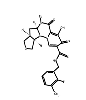 CCN1C(=O)c2c(O)c(=O)c(C(=O)NCc3cccc(C)c3F)cn2N2[C@H]3COC[C@H]3C[C@@H]12